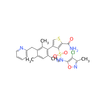 Cc1cc(C)c(-c2csc(C(N)=O)c2S(=O)(=O)Nc2onc(C)c2Cl)c(C)c1Cc1ccccn1